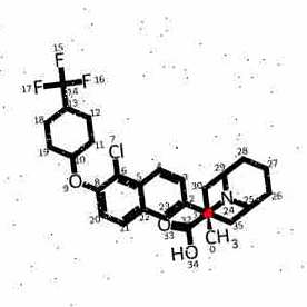 C[C@@H](c1ccc2c(Cl)c(OC3CCC(C(F)(F)F)CC3)ccc2c1)N1C2CCCC1CC(C(=O)O)C2